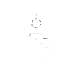 CC(C(=O)NC1CCOCC1)C(N)(C(=O)OC(C)(C)C)c1ccc(O)cc1